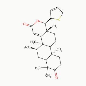 CC(=O)O[C@@H]1CC2C(C)(C)C(=O)CC[C@]2(C)C2CC[C@]3(C)C(=CC(=O)O[C@H]3C3C=CCS3)[C@@]21C